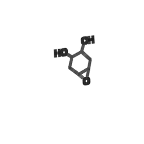 OC1CC2OC2CC1O